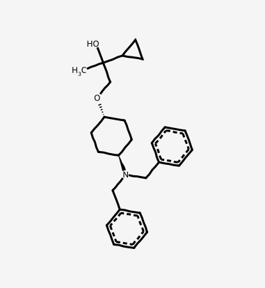 CC(O)(CO[C@H]1CC[C@H](N(Cc2ccccc2)Cc2ccccc2)CC1)C1CC1